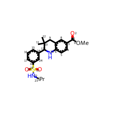 COC(=O)c1ccc2c(c1)CC(C)(C)C(c1cccc(S(=O)(=O)NC(C)C)c1)N2